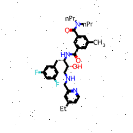 CCCN(CCC)C(=O)c1cc(C)cc(C(=O)N[C@@H](Cc2cc(F)cc(F)c2)[C@H](O)CNCc2cc(CC)ccn2)c1